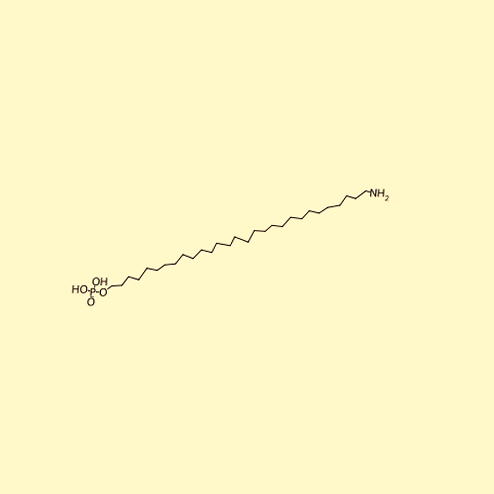 NCCCCCCCCCCCCCCCCCCCCCCCCCCCCCOP(=O)(O)O